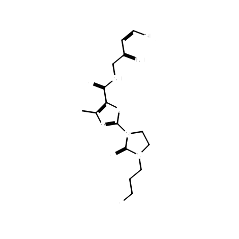 Cc1nc(N2CCN(CCCC(F)(F)F)C2=O)sc1C(=O)NCC(=N)/C=C\N